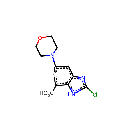 O=C(O)c1cc(N2CCOCC2)cc2nc(Cl)[nH]c12